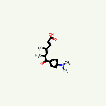 CC(/C=C/C(=O)O)=C\C(C)C(=O)c1ccc(N(C)C)cc1